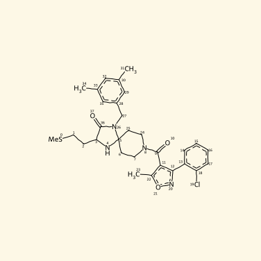 CSCCC1NC2(CCN(C(=O)c3c(-c4ccccc4Cl)noc3C)CC2)N(Cc2cc(C)cc(C)c2)C1=O